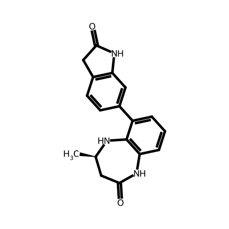 C[C@@H]1CC(=O)Nc2cccc(-c3ccc4c(c3)NC(=O)C4)c2N1